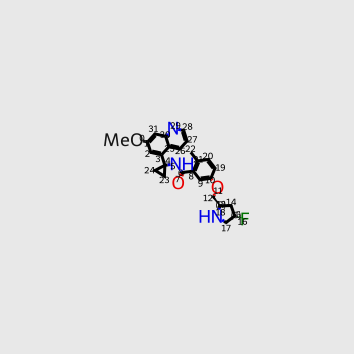 COc1cc(C2(NC(=O)c3cc(OC[C@H]4C[C@H](F)CN4)ccc3C)CC2)c2cccnc2c1